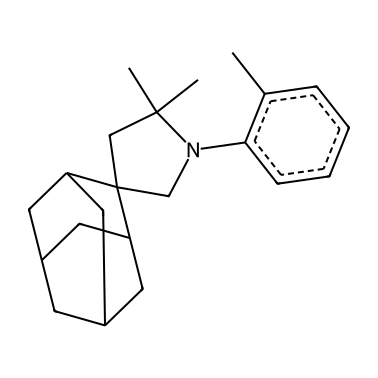 Cc1ccccc1N1CC2(CC1(C)C)C1CC3CC(C1)CC2C3